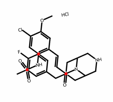 COc1cc(/C=C/C(=O)N2C3CNCC2CN(Cc2ccc(F)cc2)C3)c(NS(C)(=O)=O)cc1Cl.Cl